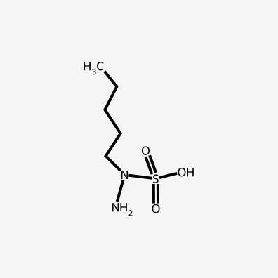 CCCCCN(N)S(=O)(=O)O